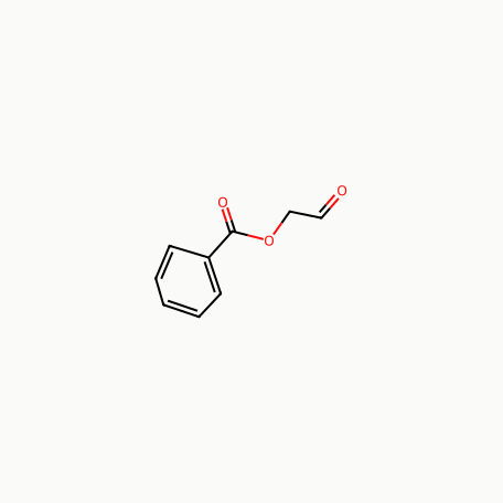 O=CCOC(=O)c1ccccc1